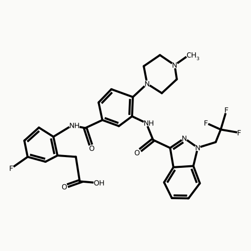 CN1CCN(c2ccc(C(=O)Nc3ccc(F)cc3CC(=O)O)cc2NC(=O)c2nn(CC(F)(F)F)c3ccccc23)CC1